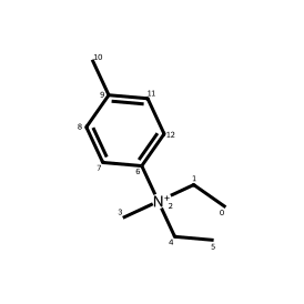 CC[N+](C)(CC)c1ccc(C)cc1